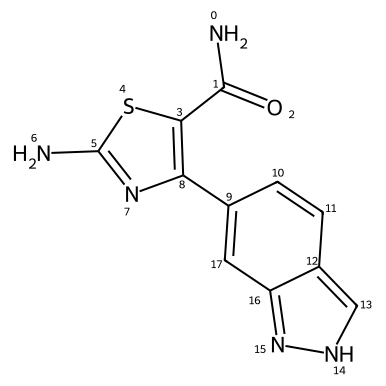 NC(=O)c1sc(N)nc1-c1ccc2c[nH]nc2c1